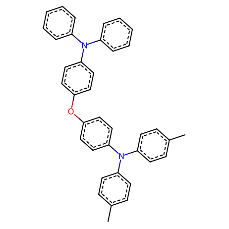 Cc1ccc(N(c2ccc(C)cc2)c2ccc(Oc3ccc(N(c4ccccc4)c4ccccc4)cc3)cc2)cc1